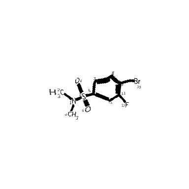 CN(C)S(=O)(=O)c1ccc(Br)c(F)c1